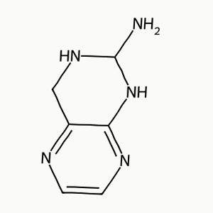 NC1NCc2nccnc2N1